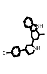 CC1CC(C2CC(c3ccc(Cl)cc3)=CCN2)Cc2c1[nH]c1ccccc21